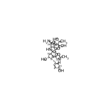 CC(=O)N[C@H](Cc1ccc(O)cc1)C(=O)N1C[C@H](O)C[C@H]1C(=O)N[C@@H](CC(N)=O)C(=O)N[C@H](C(=O)O)[C@@H](C)O